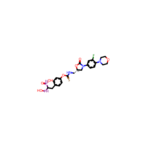 O=C1O[C@@H](CNC(=S)Oc2ccc(CC(PO)[PH](=O)O)cc2)CN1c1ccc(N2CCOCC2)c(F)c1